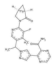 Cc1c(C(C)n2cc(-c3nccnc3C(N)=O)cn2)cnc(N2C[C@H]3C[C@H]3C2=O)c1F